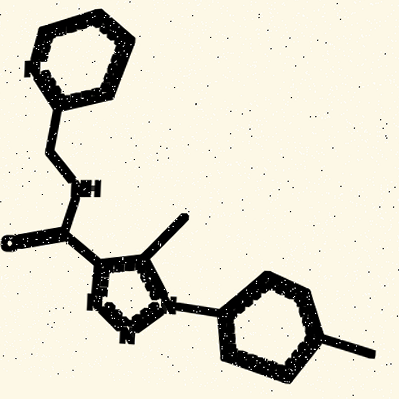 Cc1ccc(-n2nnc(C(=O)NCc3ccccn3)c2C)cc1